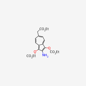 CCOC(=O)Cc1ccc2c(OC(=O)OCC)c(N)c(OC(=O)OCC)c-2cc1